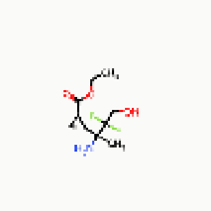 CCOC(=O)[C@@H]1C[C@H]1[C@@](C)(N)C(F)(F)CO